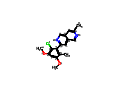 COc1cc(OC)c(Cl)c(-c2cc3cnc(C)cc3cn2)c1C